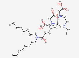 CCCCCCCCN(CCCCCCCC)C(=O)CCCCC1(N(CC(=O)O)CC(=O)O)CN(CC)CCN(CC(=O)O)C1